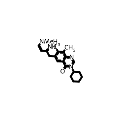 CN/C=C\C(=N)Cc1cc2c(=O)n(C3CCCCC3)cnc2c(C)c1C